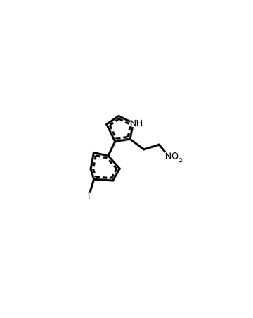 O=[N+]([O-])CCc1[nH]ccc1-c1ccc(I)cc1